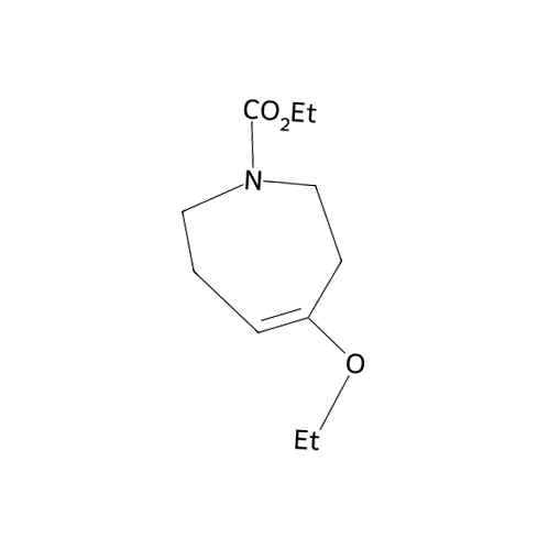 CCOC(=O)N1CCC=C(OCC)CC1